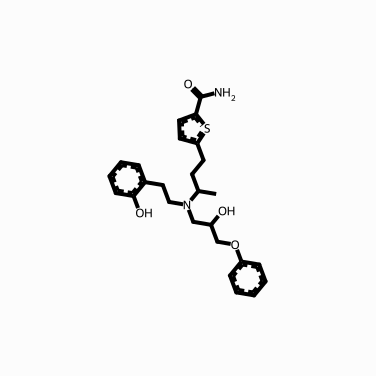 CC(CCc1ccc(C(N)=O)s1)N(CCc1ccccc1O)CC(O)COc1ccccc1